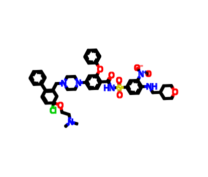 CN(C)CCOC1(Cl)C=CC(c2ccccc2)=C(CN2CCN(c3ccc(C(=O)NS(=O)(=O)c4ccc(NCC5CCOCC5)c([N+](=O)[O-])c4)c(Oc4ccccc4)c3)CC2)C1